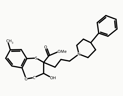 COC(=O)C1(CCCN2CCC(c3ccccc3)CC2)Sc2cc(C)ccc2OCC1O